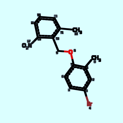 Cc1cc(Br)ccc1OCc1c(C)cccc1[N+](=O)[O-]